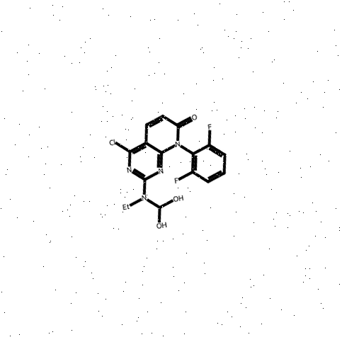 CCN(c1nc(Cl)c2ccc(=O)n(-c3c(F)cccc3F)c2n1)C(O)O